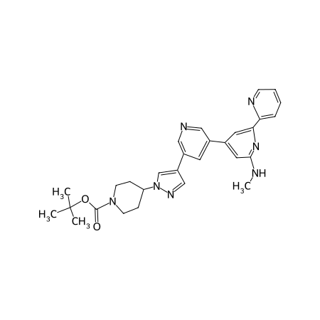 CNc1cc(-c2cncc(-c3cnn(C4CCN(C(=O)OC(C)(C)C)CC4)c3)c2)cc(-c2ccccn2)n1